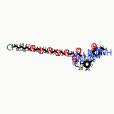 CC(=O)N[C@@H](CSc1nc2c(=O)n3cc[nH]c3nc2n1Cc1ccc(F)cc1)C(=O)NCCOCCOCCOCCOCCOCCCCCCCl